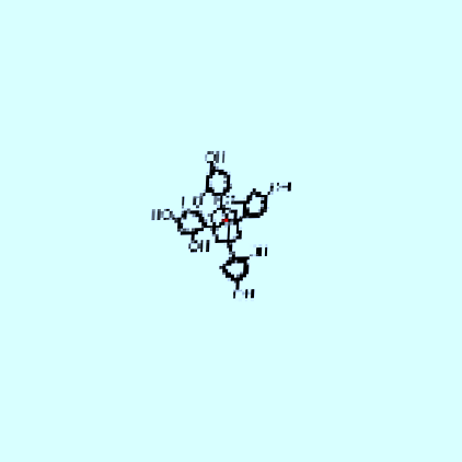 Oc1ccc(C23CC4(c5ccc(O)cc5O)CC(c5ccc(O)cc5O)(C2)CC(c2ccc(O)cc2O)(C3)C4)c(O)c1